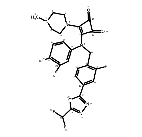 CN1CCN(c2c(N(Cc3ccc(-c4nnc(C(F)F)o4)cc3F)c3ccc(F)c(F)c3)c(=O)c2=O)CC1